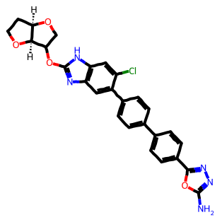 Nc1nnc(-c2ccc(-c3ccc(-c4cc5nc(OC6CO[C@@H]7CCO[C@H]67)[nH]c5cc4Cl)cc3)cc2)o1